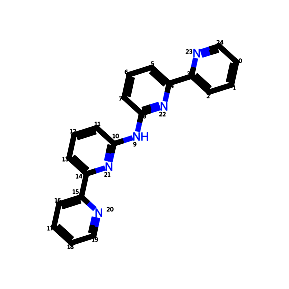 c1ccc(-c2cccc(Nc3cccc(-c4ccccn4)n3)n2)nc1